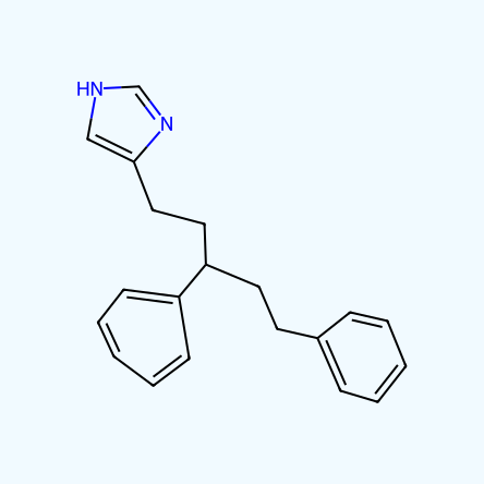 c1ccc(CCC(CCc2c[nH]cn2)c2ccccc2)cc1